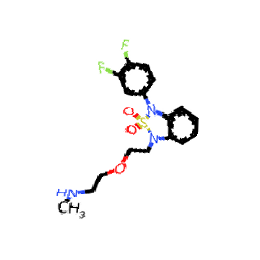 CNCCOCCN1c2ccccc2N(c2ccc(F)c(F)c2)S1(=O)=O